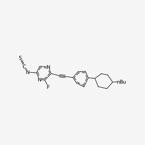 CCCCC1CCC(c2ccc(C#Cc3ncc(N=C=S)nc3F)cc2)CC1